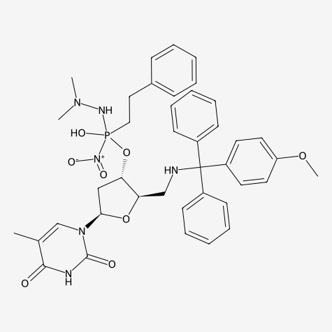 COc1ccc(C(NC[C@H]2O[C@@H](n3cc(C)c(=O)[nH]c3=O)C[C@@H]2OP(O)(CCc2ccccc2)(NN(C)C)[N+](=O)[O-])(c2ccccc2)c2ccccc2)cc1